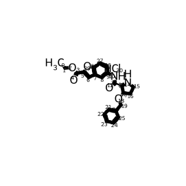 CCOC(=O)c1cc2cc(NC(=O)[C@H]3NCC[C@H]3OCc3ccccc3)ccc2o1.Cl